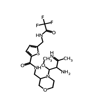 COC(C(N)C(C)=N)N1CCOCC1CNC(=O)c1ccc(CNC(=O)C(F)(F)F)s1